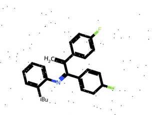 C=C(/C(=N\c1ccccc1C(C)CC)C1=CCC(F)C=C1)c1ccc(F)cc1